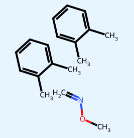 C=NOC.Cc1ccccc1C.Cc1ccccc1C